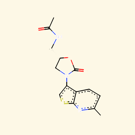 CC(=O)NC[C@H]1CN(c2csc3nc(C)ccc23)C(=O)O1